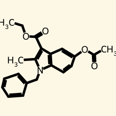 CCOC(=O)c1c(C)n(Cc2ccccc2)c2ccc(OC(C)=O)cc12